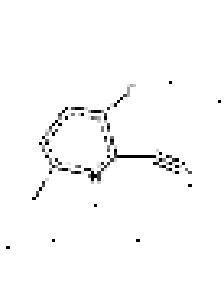 N#Cc1nc(I)ccc1F